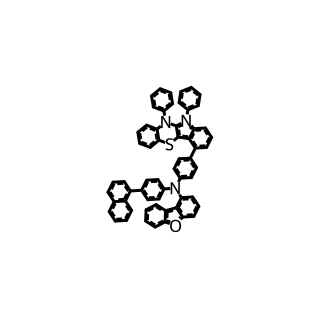 c1ccc(N2c3ccccc3Sc3c2n(-c2ccccc2)c2cccc(-c4ccc(N(c5ccc(-c6cccc7ccccc67)cc5)c5cccc6oc7ccccc7c56)cc4)c32)cc1